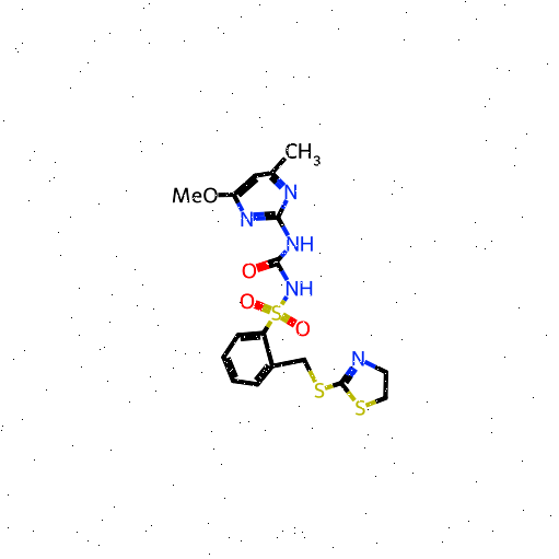 COc1cc(C)nc(NC(=O)NS(=O)(=O)c2ccccc2CSC2=NCCS2)n1